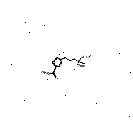 CCCCCCCC(C)(CCCCC)CCCc1ccc(C(=O)OC)s1